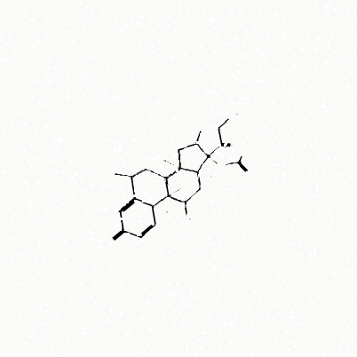 CC(=O)O[C@]1(C(=O)CO)C(C)C[C@H]2[C@@H]3CC(F)C4=CC(=O)C=C[C@]4(C)[C@@]3(F)C(O)C[C@@]21C